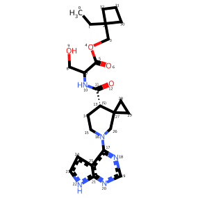 CCC1(COC(=O)C(CO)NC(=O)[C@H]2CCN(c3ncnc4[nH]ccc34)CC23CC3)CCC1